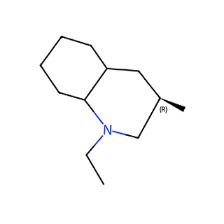 CCN1C[C@H](C)CC2CCCCC21